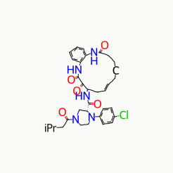 CC(C)CC(=O)N1CCN(c2ccc(Cl)cc2)[C@@H](C(=O)N[C@@H]2C/C=C/CCCCC(=O)Nc3ccccc3NC(=O)C2=O)C1